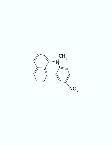 CN(c1ccc([N+](=O)[O-])cc1)c1cccc2ccccc12